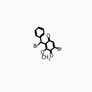 COC1=C(C(Br)c2ccccc2)C(=O)C=C(Br)C1=O